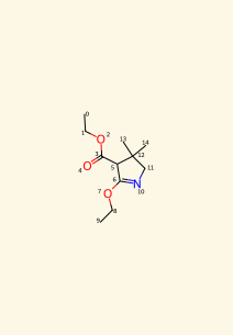 CCOC(=O)C1C(OCC)=NCC1(C)C